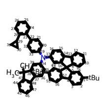 CC(C)(C)c1ccc2c(c1)C1(c3ccccc3-c3ccc(N(c4ccc(-c5ccccc5C5CC5)cc4)c4ccc5c(c4)C(C)(C)c4ccccc4-5)cc31)c1cc(C(C)(C)C)ccc1-2